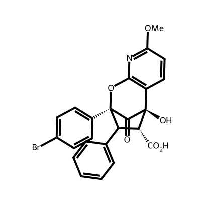 COc1ccc2c(n1)O[C@@]1(c3ccc(Br)cc3)C(=O)[C@@]2(O)[C@H](C(=O)O)C1c1ccccc1